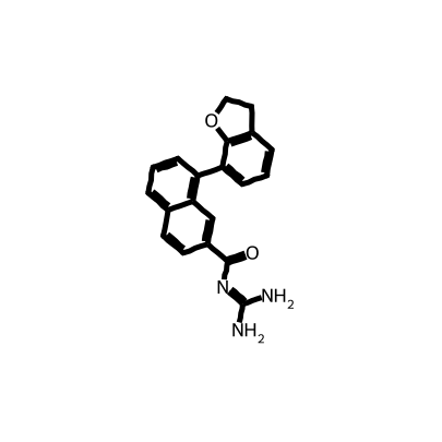 NC(N)=NC(=O)c1ccc2cccc(-c3cccc4c3OCC4)c2c1